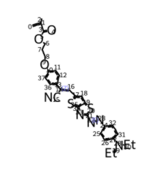 C=C(C)C(=O)OCCCOc1ccc(/C(C#N)=C/c2cc3sc(/N=N/c4ccc(N(CC)CC)cc4)nc3s2)cc1